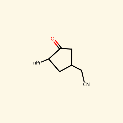 CCCC1CC(CC#N)CC1=O